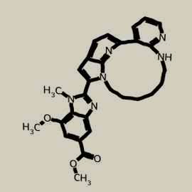 COC(=O)c1cc(OC)c2c(c1)nc(-c1cc3ccc4nc3n1CCCCCCNc1ncccc1-4)n2C